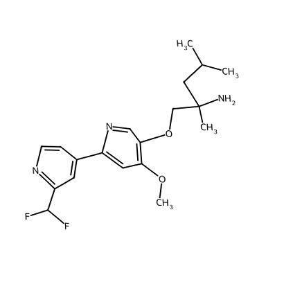 COc1cc(-c2ccnc(C(F)F)c2)ncc1OCC(C)(N)CC(C)C